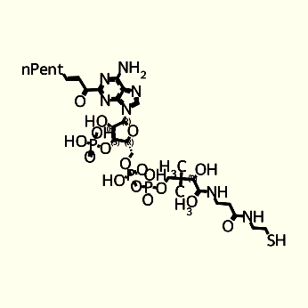 CCCCCC=CC(=O)c1nc(N)c2ncn([C@@H]3O[C@H](COP(=O)(O)OP(=O)(O)OCC(C)(C)[C@@H](O)C(=O)NCCC(=O)NCCS)[C@@H](OP(=O)(O)O)[C@H]3O)c2n1